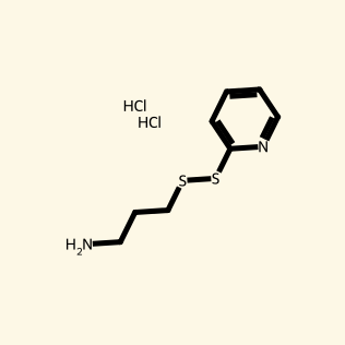 Cl.Cl.NCCCSSc1ccccn1